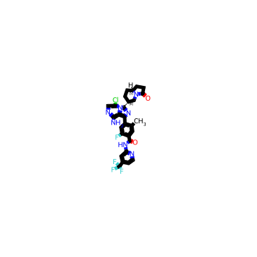 Cc1cc(C(=O)Nc2cc(C(F)(F)F)ccn2)c(F)cc1-c1nc([C@@H]2CC[C@H]3CCC(=O)N3C2)n2c(Cl)cnc(N)c12